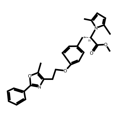 COC(=O)[C@H](Cc1ccc(OCCc2nc(-c3ccccc3)oc2C)cc1)n1c(C)ccc1C